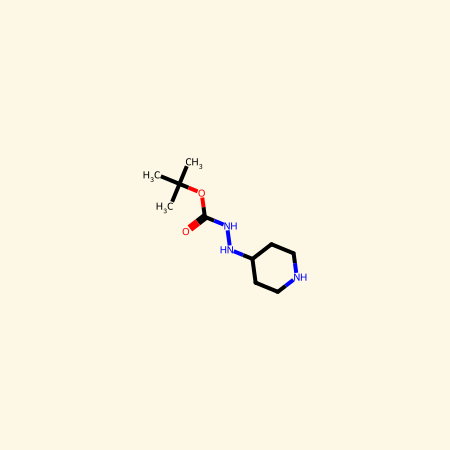 CC(C)(C)OC(=O)NNC1CCNCC1